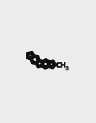 CC1=Cc2cc3c(cc2C1)-c1cc2c(cc1C3)=CCC=2